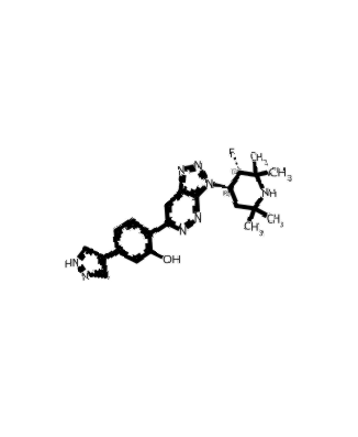 CC1(C)C[C@@H](n2nnc3cc(-c4ccc(-c5cn[nH]c5)cc4O)nnc32)[C@H](F)C(C)(C)N1